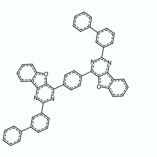 c1ccc(-c2cccc(-c3nc(-c4ccc(-c5nc(-c6cccc(-c7ccccc7)c6)nc6c5oc5ccccc56)cc4)c4oc5ccccc5c4n3)c2)cc1